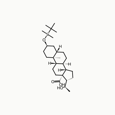 C[C@@H](O)[C@H]1CC[C@H]2[C@@H]3CC[C@H]4C[C@H](O[Si](C)(C)C(C)(C)C)CC[C@]4(C)[C@H]3CC[C@]12C(=O)O